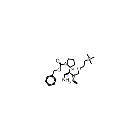 C=CN(COCC[Si](C)(C)C)/C(=C\N)[C@@H]1CCCN1C(=O)OCc1ccccc1